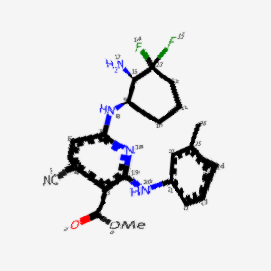 COC(=O)c1c(C#N)cc(N[C@@H]2CCCC(F)(F)[C@@H]2N)nc1Nc1cccc(C)c1